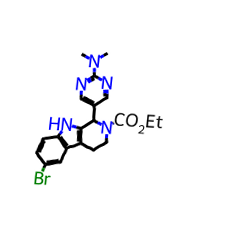 CCOC(=O)N1CCc2c([nH]c3ccc(Br)cc23)C1c1cnc(N(C)C)nc1